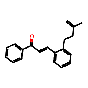 C=C(C)CCc1ccccc1C=CC(=O)c1ccccc1